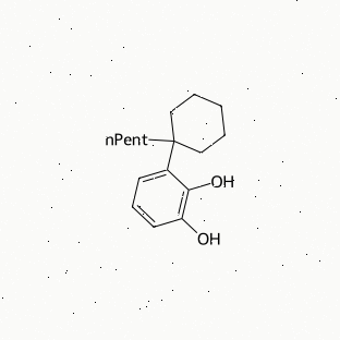 CCCCCC1(c2cccc(O)c2O)CCCCC1